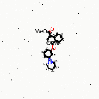 CO/C=C(/C(=O)OC)c1ccccc1COc1cccc(N2CCCCC2)c1